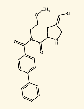 COCCN(C(=O)c1ccc(-c2ccccc2)cc1)C(=O)C1CC(=CCl)CN1